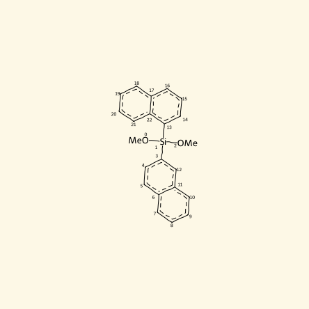 CO[Si](OC)(c1ccc2ccccc2c1)c1cccc2ccccc12